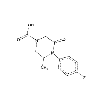 CC1CN(C(=O)O)CC(=O)N1c1ccc(F)cc1